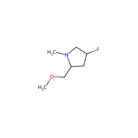 COCC1CC(F)CN1C